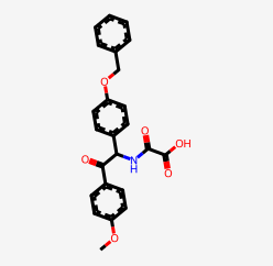 COc1ccc(C(=O)C(NC(=O)C(=O)O)c2ccc(OCc3ccccc3)cc2)cc1